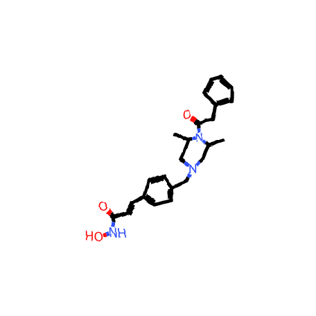 CC1CN(Cc2ccc(/C=C/C(=O)NO)cc2)CC(C)N1C(=O)Cc1ccccc1